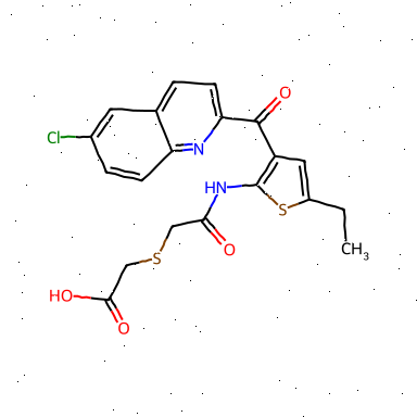 CCc1cc(C(=O)c2ccc3cc(Cl)ccc3n2)c(NC(=O)CSCC(=O)O)s1